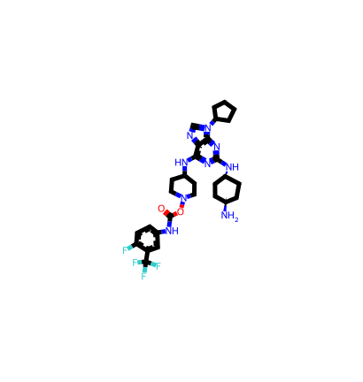 N[C@H]1CC[C@H](Nc2nc(NC3CCN(OC(=O)Nc4ccc(F)c(C(F)(F)F)c4)CC3)c3ncn(C4CCCC4)c3n2)CC1